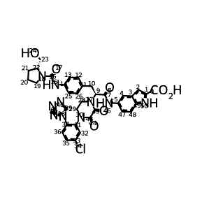 O=C(O)c1cc2cc(NC(=O)[C@H](Cc3ccc(NC(=O)N4CCC[C@@H]4CO)cc3)N3CCN(c4cc(Cl)ccc4-n4cnnn4)C(=O)C3=O)ccc2[nH]1